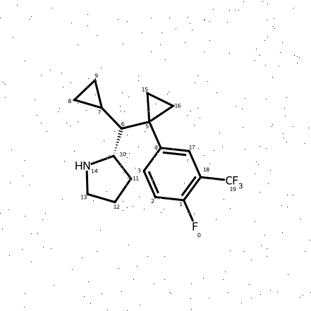 Fc1ccc(C2([C](C3CC3)[C@@H]3CCCN3)CC2)cc1C(F)(F)F